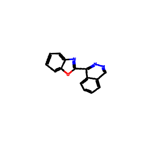 c1ccc2c(-c3nc4ccccc4o3)nncc2c1